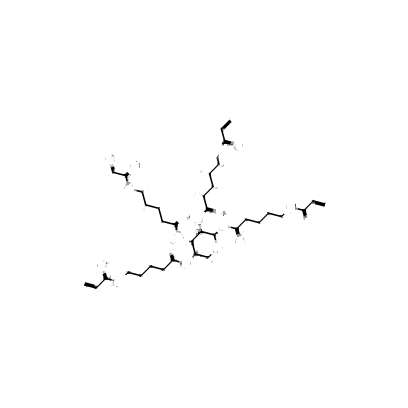 C=CC(=O)OCCCCC(=O)OC1OC[C@@H](OC(=O)CCCCOC(=O)C=C)[C@H](OC(=O)CCCCOC(=O)C=O)[C@H]1OC(=O)CCCCOC(=O)C=C